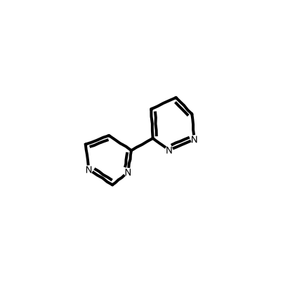 c1cnnc(-c2ccncn2)c1